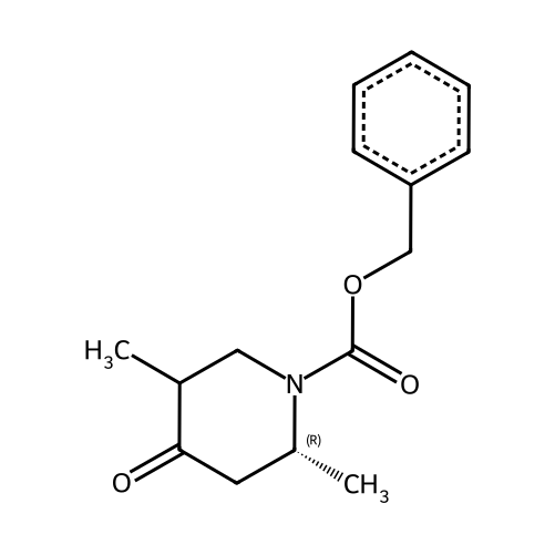 CC1CN(C(=O)OCc2ccccc2)[C@H](C)CC1=O